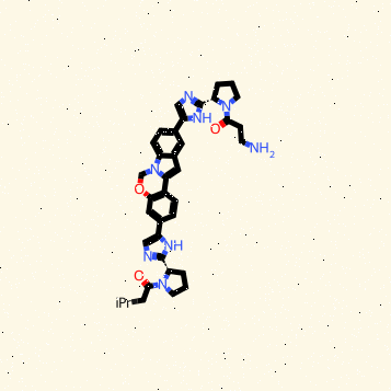 CC(C)CC(=O)N1CCC[C@H]1c1ncc(-c2ccc3c(c2)OCn2c-3cc3cc(-c4cnc([C@@H]5CCCN5C(=O)CCN)[nH]4)ccc32)[nH]1